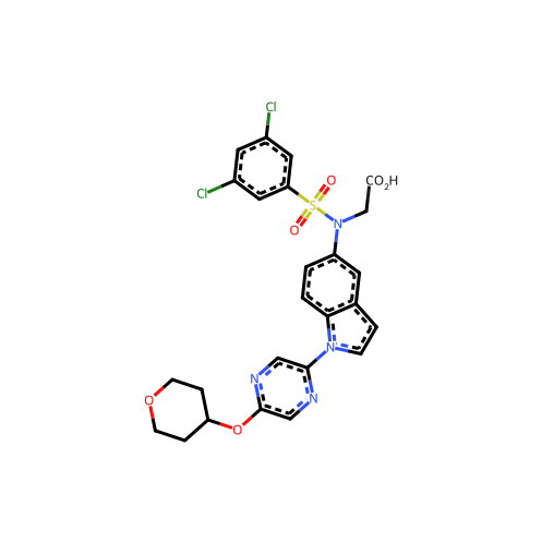 O=C(O)CN(c1ccc2c(ccn2-c2cnc(OC3CCOCC3)cn2)c1)S(=O)(=O)c1cc(Cl)cc(Cl)c1